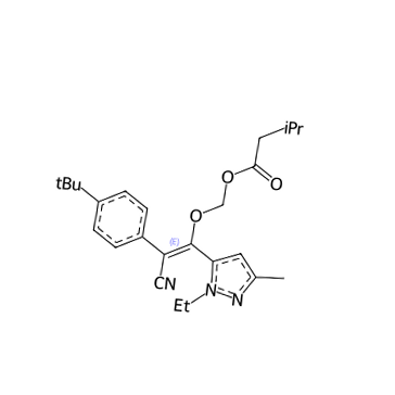 CCn1nc(C)cc1/C(OCOC(=O)CC(C)C)=C(\C#N)c1ccc(C(C)(C)C)cc1